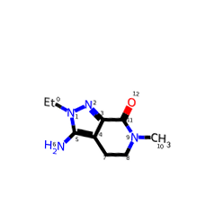 CCn1nc2c(c1N)CCN(C)C2=O